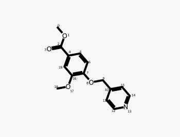 COC(=O)c1ccc(OCc2ccncc2)c(OC)c1